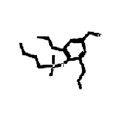 CCCC[Si](C)(C)Oc1c(CCC)cc(CBr)cc1CCC